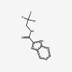 O=C(NCC(F)(F)F)c1nc2cncnc2[nH]1